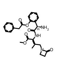 COC(=O)C(NC(=O)[C@H](N)c1ccccc1OC(=O)Cc1ccccc1)=C(C)CN1CCC1=O